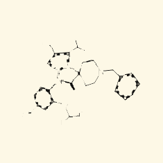 CC(C)c1c(Cl)cnn1C1(C(=O)Nc2ccc(Cl)cc2OC(F)F)CCN(Cc2ccccc2)CC1